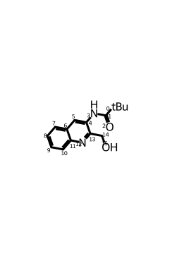 CC(C)(C)C(=O)Nc1cc2ccccc2nc1CO